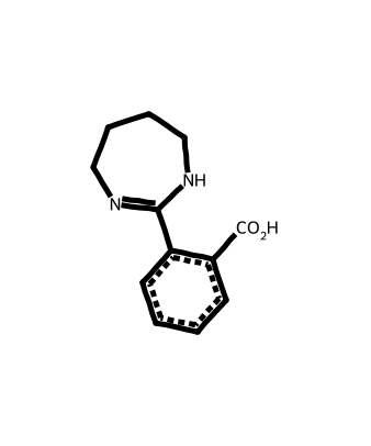 O=C(O)c1ccccc1C1=NCCCCN1